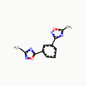 Cc1noc(-c2cccc(-c3noc(C)n3)c2)n1